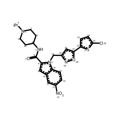 CC(C)N1CCC(NC(=O)c2cc3cc([N+](=O)[O-])ccc3n2Cc2cc(-c3ccc(Cl)s3)on2)CC1